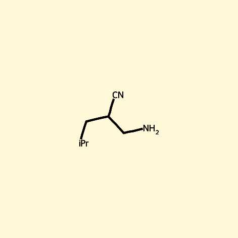 CC(C)CC(C#N)CN